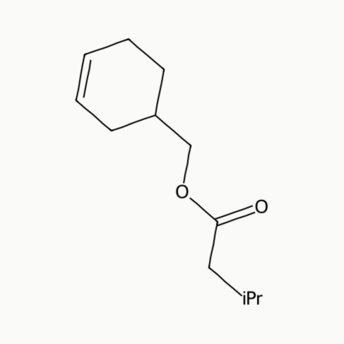 CC(C)CC(=O)OCC1CC=CCC1